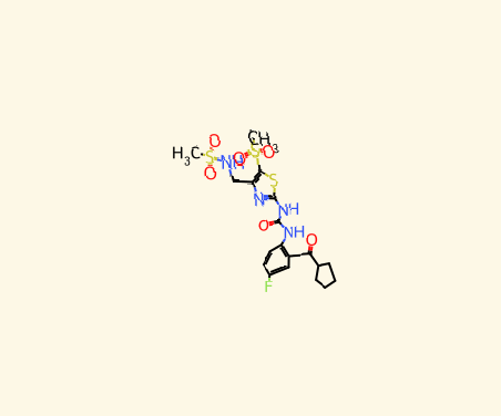 CS(=O)(=O)NCc1nc(NC(=O)Nc2ccc(F)cc2C(=O)C2CCCC2)sc1S(C)(=O)=O